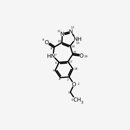 CCOc1ccc2[nH]c(=O)c3nn[nH]c3c(=O)c2c1